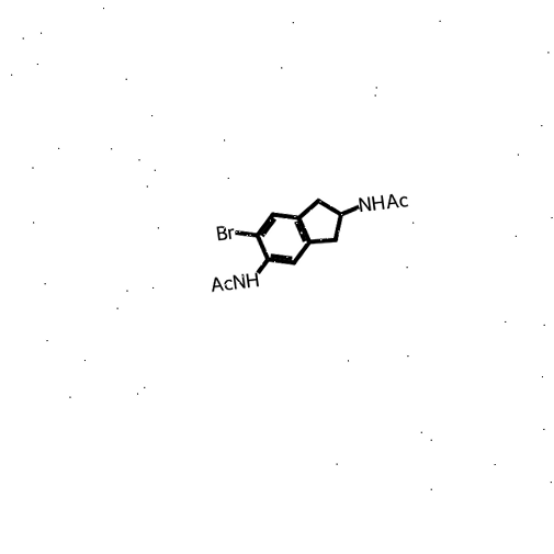 CC(=O)Nc1cc2c(cc1Br)CC(NC(C)=O)C2